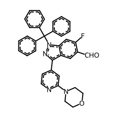 O=Cc1cc2c(-c3ccnc(N4CCOCC4)c3)nn(C(c3ccccc3)(c3ccccc3)c3ccccc3)c2cc1F